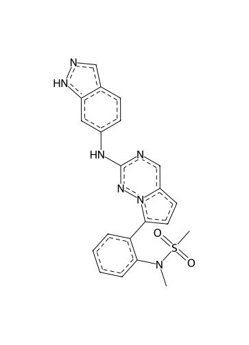 CN(c1ccccc1-c1ccc2cnc(Nc3ccc4cn[nH]c4c3)nn12)S(C)(=O)=O